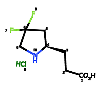 Cl.O=C(O)CC[C@@H]1CC(F)(F)CN1